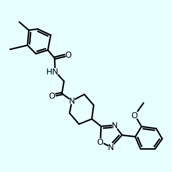 COc1ccccc1-c1noc(C2CCN(C(=O)CNC(=O)c3ccc(C)c(C)c3)CC2)n1